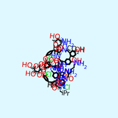 CC(C)C[C@H](C(=O)N[C@H]1C(=O)N[C@@H](CC(N)=O)C(=O)N[C@H]2C(=O)N[C@H]3C(=O)N[C@H](C(=O)N[C@@H](C(=O)O)c4cc(O)cc(O)c4-c4cc3ccc4I)[C@H](O[C@H]3C[C@](C)(N)[C@@H](O)[C@H](C)O3)c3ccc(c(Cl)c3)Oc3cc2cc(c3O[C@@H]2O[C@H](CO)[C@@H](O)[C@H](O)[C@H]2O[C@H]2C[C@](C)(NCc3ccc(-c4ccc(Cl)cc4)cc3)[C@@H](O)[C@H](C)O2)Oc2ccc(cc2Cl)[C@H]1O)N(C)C(=O)CNC(=O)[C@@H](N)CCCCN